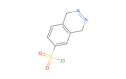 O=S(=O)(Cl)c1ccc2c(c1)CN=NC2